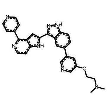 CN(C)CCOc1cncc(-c2ccc3[nH]nc(-c4cc5c(-c6ccncc6)nccc5[nH]4)c3c2)c1